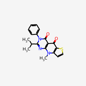 CC(C)c1nc2c(c(=O)c3sccc3n2C)c(=O)n1-c1ccccc1